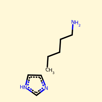 CCCCCN.c1c[nH]cn1